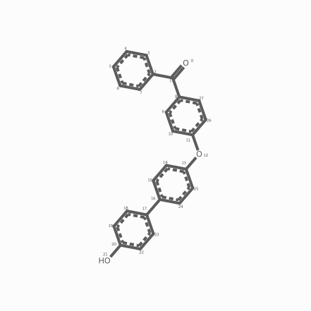 O=C(c1ccccc1)c1ccc(Oc2ccc(-c3ccc(O)cc3)cc2)cc1